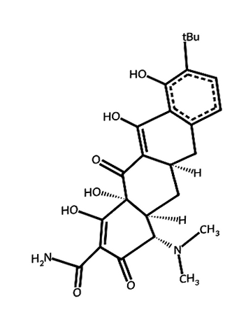 CN(C)[C@@H]1C(=O)C(C(N)=O)=C(O)[C@@]2(O)C(=O)C3=C(O)c4c(ccc(C(C)(C)C)c4O)C[C@H]3C[C@@H]12